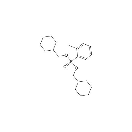 Cc1ccccc1P(=O)(OCC1CCCCC1)OCC1CCCCC1